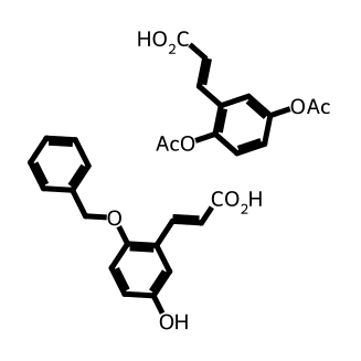 CC(=O)Oc1ccc(OC(C)=O)c(/C=C/C(=O)O)c1.O=C(O)/C=C/c1cc(O)ccc1OCc1ccccc1